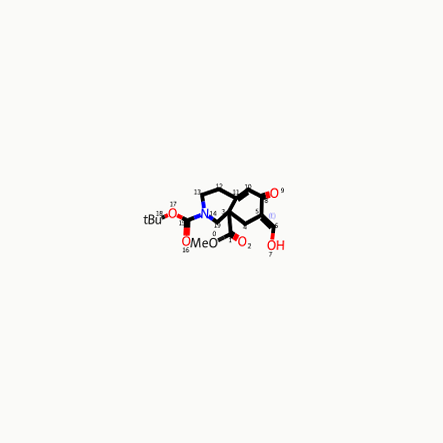 COC(=O)C12C/C(=C\O)C(=O)C=C1CCN(C(=O)OC(C)(C)C)C2